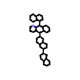 c1ccc2cc(-c3ccc4cc(-c5c6ccccc6c(-c6cccc7ccccc67)c6ncccc56)ccc4c3)ccc2c1